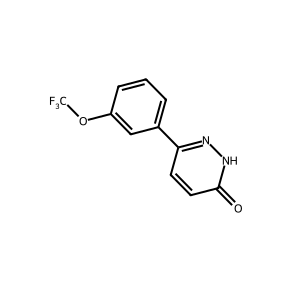 O=c1ccc(-c2cccc(OC(F)(F)F)c2)n[nH]1